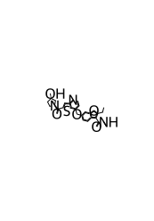 CCc1oc2cc(Oc3ccnc4cc(C(=O)N5CC[C@@H](O)C5)sc34)ccc2c1C(=O)NC